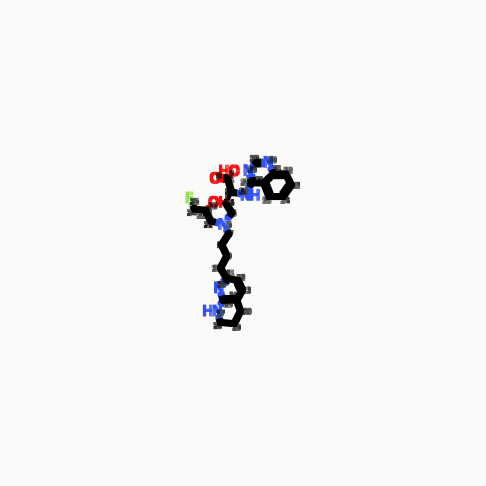 O=C(O)[C@H](CCN(CCCCc1ccc2c(n1)NCCC2)C[C@H](O)CF)Nc1ncnc2ccccc12